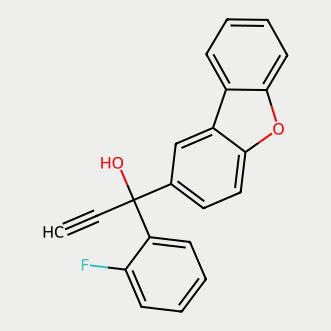 C#CC(O)(c1ccc2oc3ccccc3c2c1)c1ccccc1F